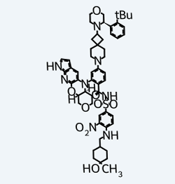 CC1(O)CCC(CNc2ccc(S(=O)(=O)NC(=O)c3ccc(N4CCC5(CC4)CC(N4CCOC[C@H]4c4ccccc4C(C)(C)C)C5)cc3N3c4cc5cc[nH]c5nc4O[C@H]4COCC[C@@H]43)cc2[N+](=O)[O-])CC1